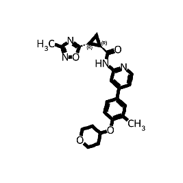 Cc1noc([C@@H]2C[C@H]2C(=O)Nc2cc(-c3ccc(OC4CCOCC4)c(C)c3)ccn2)n1